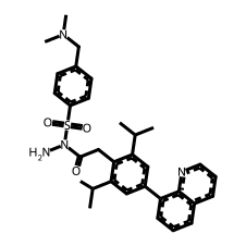 CC(C)c1cc(-c2cccc3cccnc23)cc(C(C)C)c1CC(=O)N(N)S(=O)(=O)c1ccc(CN(C)C)cc1